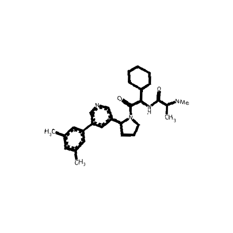 CNC(C)C(=O)NC(C(=O)N1CCCC1c1cncc(-c2cc(C)cc(C)c2)c1)C1CCCCC1